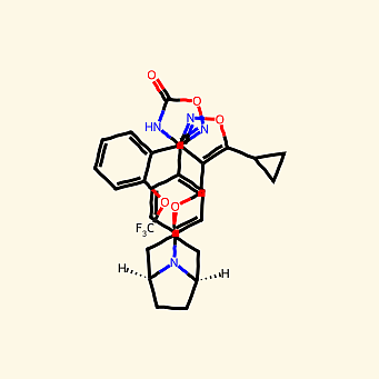 O=c1[nH]c(-c2ccc(N3[C@@H]4CC[C@H]3C[C@@H](OCc3c(-c5ccccc5OC(F)(F)F)noc3C3CC3)C4)cc2)no1